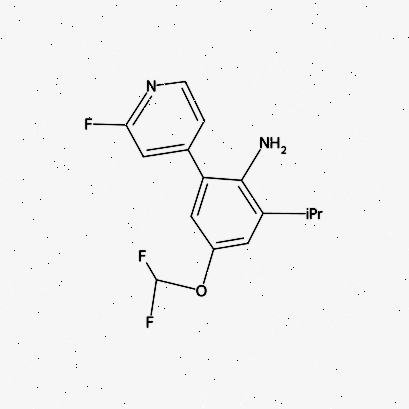 CC(C)c1cc(OC(F)F)cc(-c2ccnc(F)c2)c1N